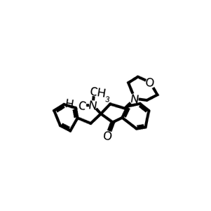 CN(C)C(CCN1CCOCC1)(Cc1ccccc1)C(=O)c1ccccc1